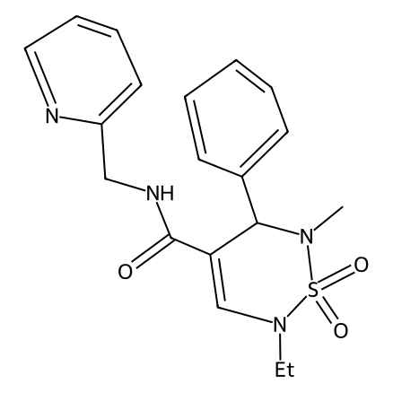 CCN1C=C(C(=O)NCc2ccccn2)C(c2ccccc2)N(C)S1(=O)=O